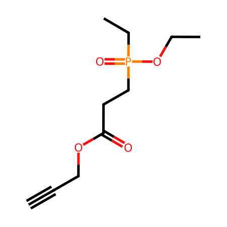 C#CCOC(=O)CCP(=O)(CC)OCC